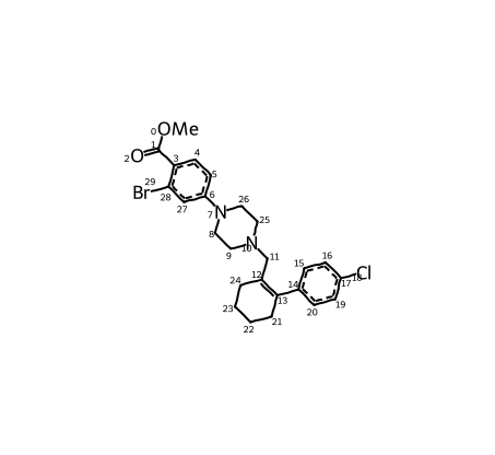 COC(=O)c1ccc(N2CCN(CC3=C(c4ccc(Cl)cc4)CCCC3)CC2)cc1Br